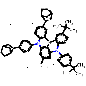 Cc1cc2c3c(c1)N(c1ccc(C(C)(C)C)cc1)c1ccc(C(C)(C)C)cc1B3c1cc(C3CC4CCC3C4)ccc1N2c1ccc(C2CC3CCC2C3)cc1